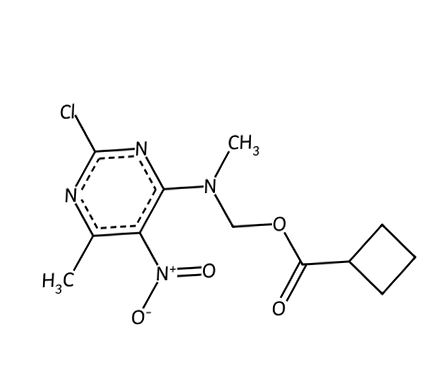 Cc1nc(Cl)nc(N(C)COC(=O)C2CCC2)c1[N+](=O)[O-]